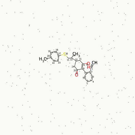 C#Cc1ccccc1C1=C(O)CC(C(C)CSc2ccc(C)cc2)CC1=O